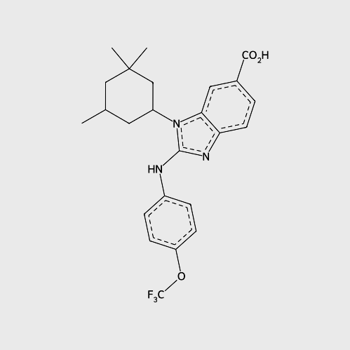 CC1CC(n2c(Nc3ccc(OC(F)(F)F)cc3)nc3ccc(C(=O)O)cc32)CC(C)(C)C1